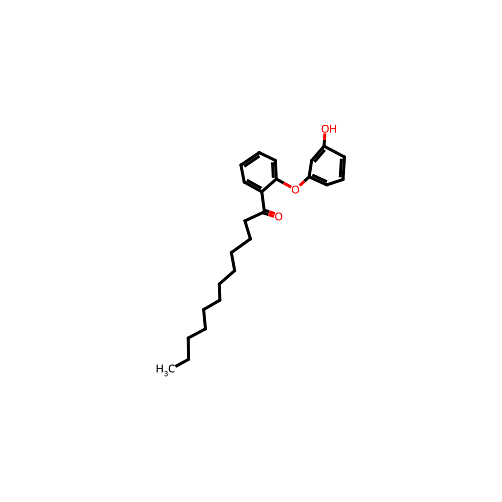 CCCCCCCCCCCC(=O)c1ccccc1Oc1cccc(O)c1